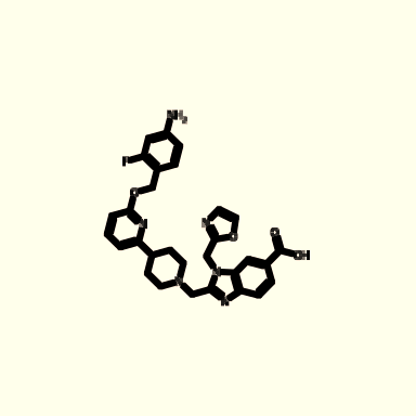 Nc1ccc(COc2cccc(C3CCN(Cc4nc5ccc(C(=O)O)cc5n4Cc4ncco4)CC3)n2)c(F)c1